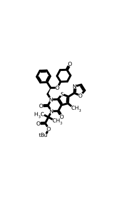 Cc1c(-c2ncco2)sc2c1c(=O)n(C(C)(C)C(=O)OC(C)(C)C)c(=O)n2C[C@H](OC1CCC(=O)CC1)c1ccccc1